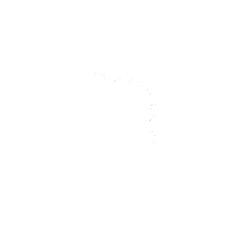 COCCOC(=O)CCCC(=O)OCCOC(=O)CCCC(=O)OCC(C)OC(=O)CCCC(=O)OCCOC(=O)CCCC(=O)OCCOC